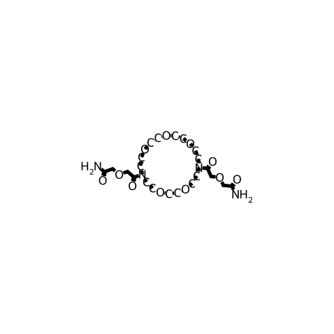 NC(=O)COCC(=O)N1CCOCCOCCOCCN(C(=O)COCC(N)=O)CCOCCOCC1